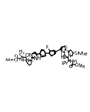 COC(=O)N[C@@H](C)C(=O)N1CCC[C@H]1c1ncc(-c2ccc(-c3ccc(-c4cnc([C@@H]5C[C@H](SC)CN5C(=O)[C@@H](NC(=O)OC)C(C)C)[nH]4)cc3F)cc2)[nH]1